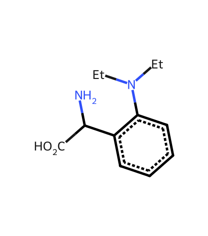 CCN(CC)c1ccccc1C(N)C(=O)O